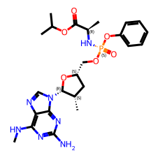 CNc1nc(N)nc2c1ncn2[C@@H]1O[C@H](CO[P@@](=O)(N[C@H](C)C(=O)OC(C)C)Oc2ccccc2)C[C@@H]1C